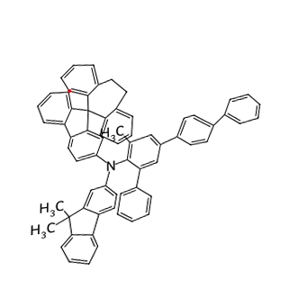 Cc1cc(-c2ccc(-c3ccccc3)cc2)cc(-c2ccccc2)c1N(c1ccc2c(c1)C(C)(C)c1ccccc1-2)c1ccc2c(c1)C1(c3ccccc3CCc3ccccc31)c1ccccc1-2